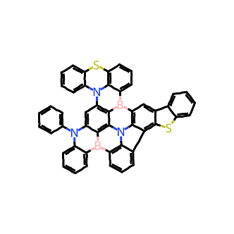 c1ccc(N2c3ccccc3B3c4c2cc2c5c4-n4c6c3cccc6c3c6sc7ccccc7c6cc(c34)B5c3cccc4c3N2c2ccccc2S4)cc1